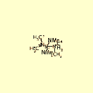 CN[Si](NC)(N(C)C)N(C)C